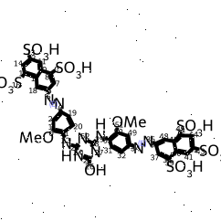 COc1cc(/N=N/c2cc(S(=O)(=O)O)c3cc(S(=O)(=O)O)cc(S(=O)(=O)O)c3c2)ccc1Nc1nc(O)nc(Nc2ccc(/N=N/c3cc(S(=O)(=O)O)c4cc(S(=O)(=O)O)cc(S(=O)(=O)O)c4c3)cc2OC)n1